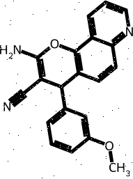 COc1cccc(C2C(C#N)=C(N)Oc3c2ccc2ncccc32)c1